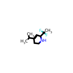 CC(C)C1=CC(C(C)(F)F)NCC1